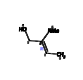 C/C=C(/CO)NC